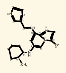 C[C@H]1CCCC[C@@H]1Nc1cc(NCc2cccnc2)c2ncc(Br)n2c1